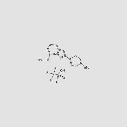 CCCCN1CC=C(c2cc3cccc(OCCC)c3s2)CC1.O=S(=O)(O)C(F)(F)F